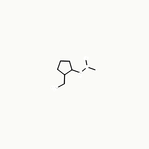 C[S+]([O-])NC1CCCC1CN